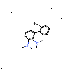 [2H]c1ccccc1-c1cccc(N(C)C)c1N(C)C